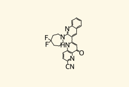 N#Cc1ccc2[nH]c(-c3cc4ccccc4nc3N3CCCC(F)(F)CC3)cc(=O)c2n1